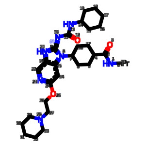 CC(C)NC(=O)C1CCC(n2/c(=N\C(=O)NC3CCCCC3)[nH]c3cnc(OCCN4CCCCC4)cc32)CC1